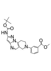 COC(=O)c1cccc(N2CCc3c(cnc4cc(NC(=O)OC(C)(C)C)nn34)C2)c1